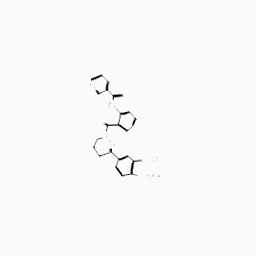 COc1ccc(C2=NN(C(=O)c3ccccc3NC(=O)c3cccnc3)CCC2)cc1OC